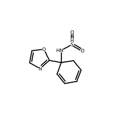 O=[SH](=O)NC1(c2ncco2)C=CC=CC1